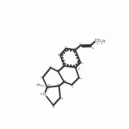 C[C@]12CCC3c4ccc(C=CC(=O)O)cc4CCC3C1CCO2